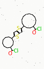 O=C(Cl)C1CCCCCCCCCC(c2cc3sc(C4CCCCCCC(C(=O)Cl)CC4)cc3s2)CC1